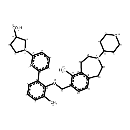 Cc1cccc(-c2cccc(N3CCC(C(=O)O)C3)n2)c1OCc1ccc2c(c1C)CCN(C1CCOCC1)CC2